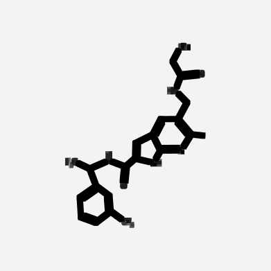 Cc1nc2[nH]c(C(=O)NC(c3cccc(C(F)(F)F)c3)C(F)(F)F)cc2cc1CNC(=O)CC(C)(C)C